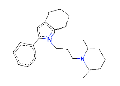 CC1CCCC(C)N1CCCn1c(-c2ccccc2)cc2c1CCCC2